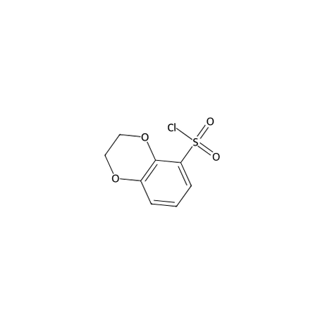 O=S(=O)(Cl)c1cccc2c1OCCO2